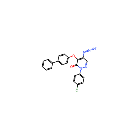 [N-]=[N+]=Nc1cnn(-c2ccc(Cl)cc2)c(=O)c1Oc1ccc(-c2ccccc2)cc1